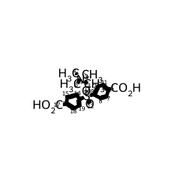 C[N+](C)(C)C.O=C(O)c1ccc(S(=O)(=O)c2ccc(C(=O)O)cc2)cc1